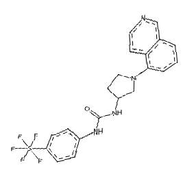 O=C(Nc1ccc(S(F)(F)(F)(F)F)cc1)NC1CCN(c2cccc3cnccc23)C1